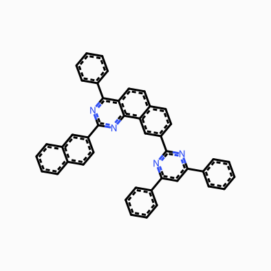 c1ccc(-c2cc(-c3ccccc3)nc(-c3ccc4ccc5c(-c6ccccc6)nc(-c6ccc7ccccc7c6)nc5c4c3)n2)cc1